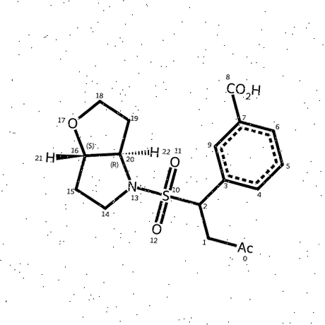 CC(=O)CC(c1cccc(C(=O)O)c1)S(=O)(=O)N1CC[C@@H]2OCC[C@H]21